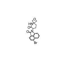 O=C1NC2(CCC1N1C(=O)c3ccc(Br)c4cccc1c34)COC2